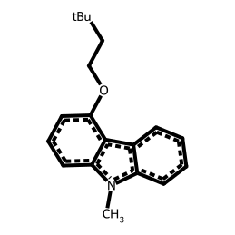 Cn1c2ccccc2c2c(OCCC(C)(C)C)cccc21